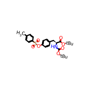 Cc1ccc(S(=O)(=O)Oc2ccc(C[C@H](NC(=O)OC(C)(C)C)C(=O)OC(C)(C)C)cc2)cc1